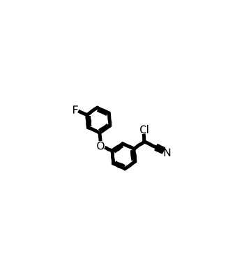 N#CC(Cl)c1cccc(Oc2cccc(F)c2)c1